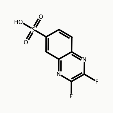 O=S(=O)(O)c1ccc2nc(F)c(F)nc2c1